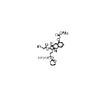 CCCCC[C@@H](CC[C@@H]1[C@H]2Cc3cccc(OCC(=O)OC)c3C[C@H]2C[C@H]1OC(=O)CC(C)C)OC1CCCCO1